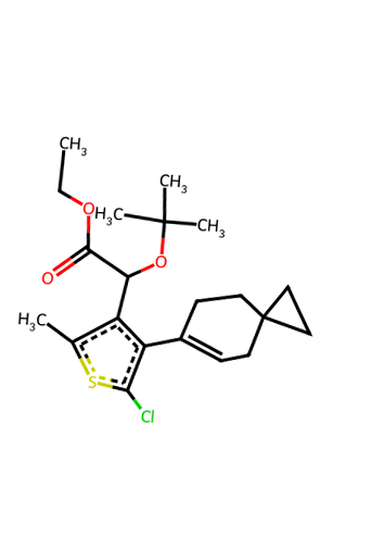 CCOC(=O)C(OC(C)(C)C)c1c(C)sc(Cl)c1C1=CCC2(CC1)CC2